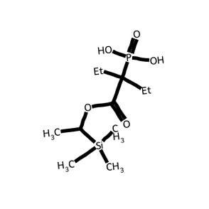 CCC(CC)(C(=O)OC(C)[Si](C)(C)C)P(=O)(O)O